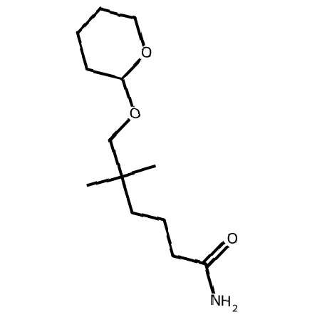 CC(C)(CCCC(N)=O)COC1CCCCO1